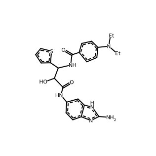 CCN(CC)c1ccc(C(=O)NC(c2cccs2)C(O)C(=O)Nc2ccc3nc(N)[nH]c3c2)cc1